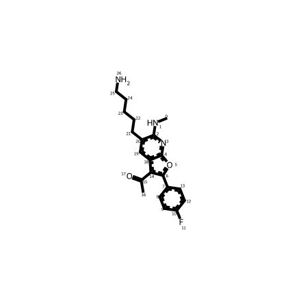 CNc1nc2oc(-c3ccc(F)cc3)c(C(C)=O)c2cc1CCCCCN